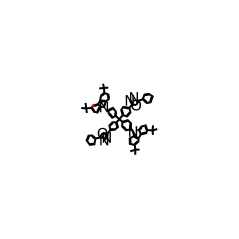 CC(C)(C)c1ccc2c(c1)c1cc(C(C)(C)C)ccc1n2-c1ccc(C(c2ccc(-c3nnc(-c4ccccc4)o3)cc2)(c2ccc(-c3nnc(-c4ccccc4)o3)cc2)c2ccc(-n3c4ccc(C(C)(C)C)cc4c4cc(C(C)(C)C)ccc43)cc2)cc1